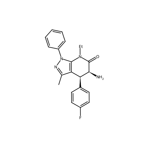 CCN1C(=O)[C@@H](N)[C@@H](c2ccc(F)cc2)c2c(C)nn(-c3ccccc3)c21